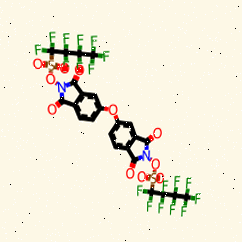 O=C1c2ccc(Oc3ccc4c(c3)C(=O)N(OS(=O)(=O)C(F)(F)C(F)(F)C(F)(F)C(F)(F)F)C4=O)cc2C(=O)N1OS(=O)(=O)C(F)(F)C(F)(F)C(F)(F)C(F)(F)F